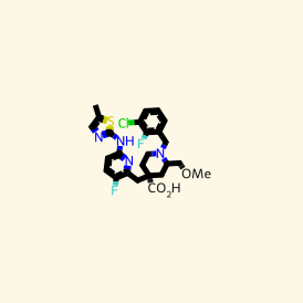 COCC1CC(Cc2nc(Nc3ncc(C)s3)ccc2F)(C(=O)O)CCN1Cc1cccc(Cl)c1F